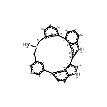 CN1Cc2cncc(c2)-c2ccc3[nH]nc(c3c2)-c2nc3c(cccc3[nH]2)-c2cccc(c2)C1